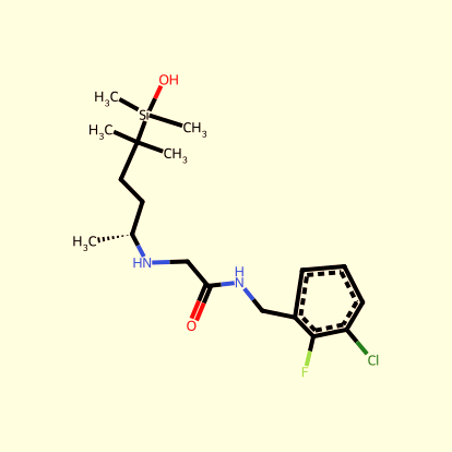 C[C@H](CCC(C)(C)[Si](C)(C)O)NCC(=O)NCc1cccc(Cl)c1F